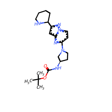 CC(C)(C)OC(=O)N[C@@H]1CCN(c2ccn3nc(C4CCCCN4)cc3n2)C1